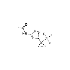 CC(=O)Nc1cc(C2(C(F)(F)F)CC2)no1